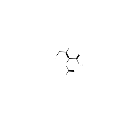 CCC(C)=C(NC(C)=O)C(=O)O